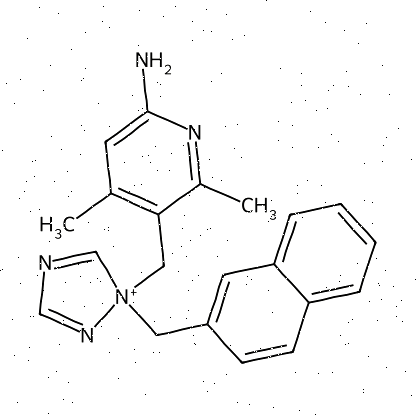 Cc1cc(N)nc(C)c1C[N+]1(Cc2ccc3ccccc3c2)C=NC=N1